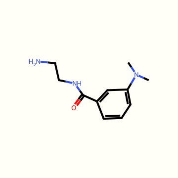 CN(C)c1cccc(C(=O)NCCN)c1